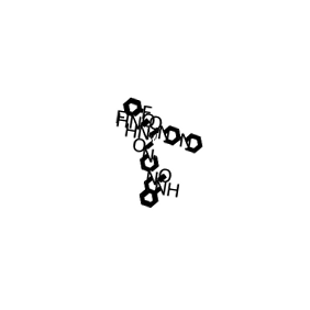 O=C(Nc1c(F)cccc1F)N[C@@H](CC(=O)N1CCC(N2Cc3ccccc3NC2=O)CC1)C(=O)N1CCC(N2CCCCC2)CC1